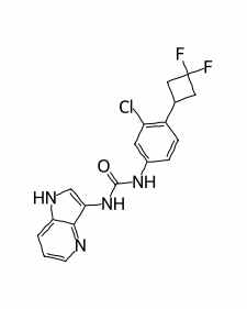 O=C(Nc1ccc(C2CC(F)(F)C2)c(Cl)c1)Nc1c[nH]c2cccnc12